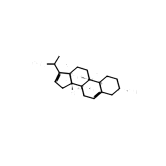 CC(C=O)C1=CC[C@H]2[C@@H]3CC=C4C[C@@H](O)CC[C@]4(C)[C@H]3CC[C@]12C